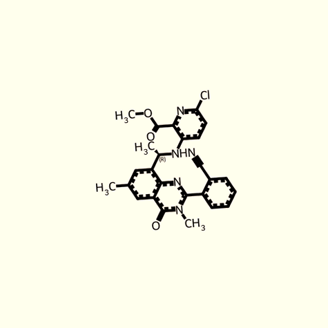 COC(=O)c1nc(Cl)ccc1N[C@H](C)c1cc(C)cc2c(=O)n(C)c(-c3ccccc3C#N)nc12